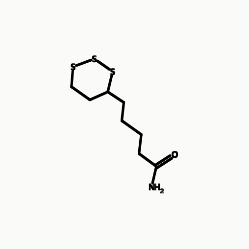 NC(=O)CCCCC1CCSSS1